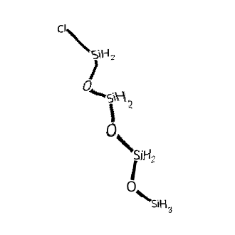 [SiH3]O[SiH2]O[SiH2]O[SiH2]Cl